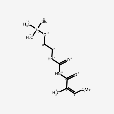 COC=C(C)C(=O)NC(=O)NCCO[Si](C)(C)C(C)(C)C